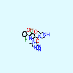 CC1Cn2cnnc2CN1c1nc(-c2c(O)cccc2F)c(Cl)c2c1C(=O)N1CCNCC1CO2